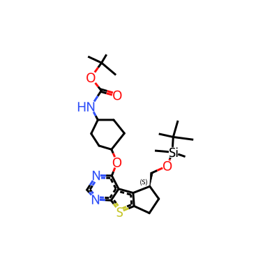 CC(C)(C)OC(=O)NC1CCC(Oc2ncnc3sc4c(c23)[C@@H](CO[Si](C)(C)C(C)(C)C)CC4)CC1